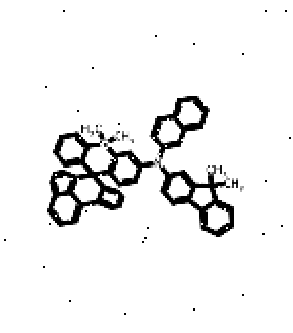 CC1(C)c2ccccc2-c2ccc(N(c3ccc4c(c3)[Si](C)(C)c3ccccc3C43c4ccccc4-c4cccc5cccc3c45)c3ccc4ccccc4c3)cc21